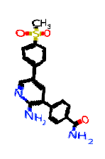 CS(=O)(=O)c1ccc(-c2cnc(N)c(-c3ccc(C(N)=O)cc3)c2)cc1